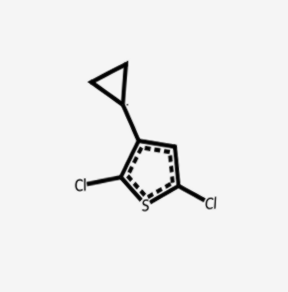 Clc1cc([C]2CC2)c(Cl)s1